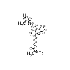 C=C(C)C(=O)OCCCCC1CCCCC1OC1CCCCC1CCCCOC(=O)C(=C)C